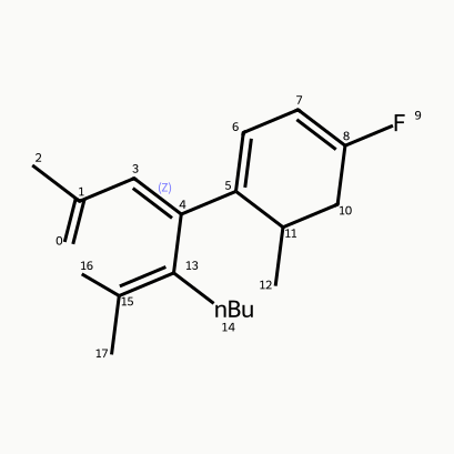 C=C(C)/C=C(/C1=CC=C(F)CC1C)C(CCCC)=C(C)C